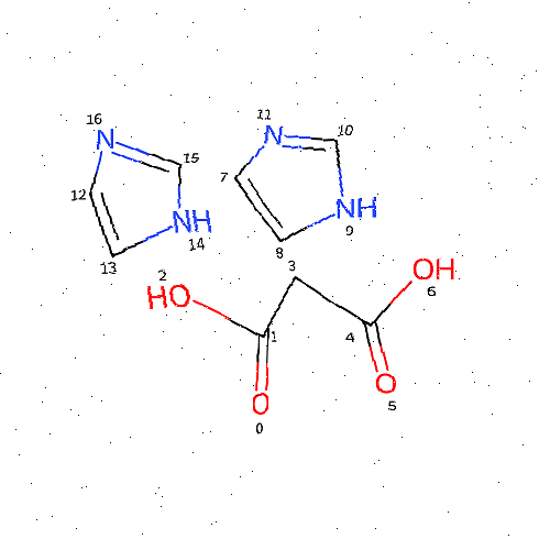 O=C(O)CC(=O)O.c1c[nH]cn1.c1c[nH]cn1